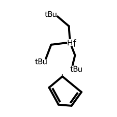 CC(C)(C)[CH2][Hf]([CH2]C(C)(C)C)[CH2]C(C)(C)C.[CH]1C=CC=C1